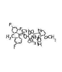 COc1ccnc(C(=O)N[C@@H](C)C(=O)O[C@@H](C)[C@@H](c2ccc(F)cc2C)c2ccc(F)cc2F)c1O